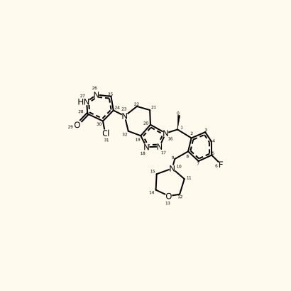 C[C@@H](c1ccc(F)cc1CN1CCOCC1)n1nnc2c1CCN(c1cn[nH]c(=O)c1Cl)C2